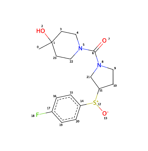 CC1(O)CCN(C(=O)N2CCC([S+]([O-])c3ccc(F)cc3)C2)CC1